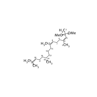 COC(C)(C=C(C)CCC=C(C)CCC[C@H](C)CCC=C(C)C)OC